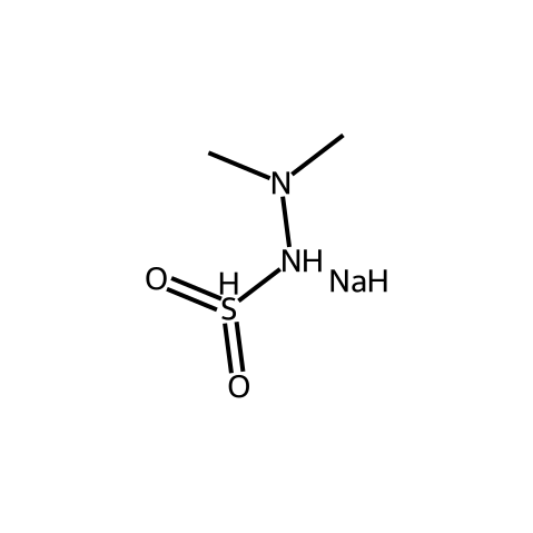 CN(C)N[SH](=O)=O.[NaH]